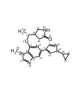 C[C@@H](Oc1nc(-c2cnn(C3CC3)c2)cc2ncn(C)c12)C1CNC(=O)C1